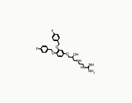 N=C(N)NCCNCC(O)COc1ccc(OCc2ccc(F)cc2)c(OCc2ccc(F)cc2)c1